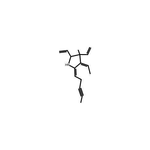 C=CC1NC(=C/CC#CC)/C(=C\C)C1(C)C=C